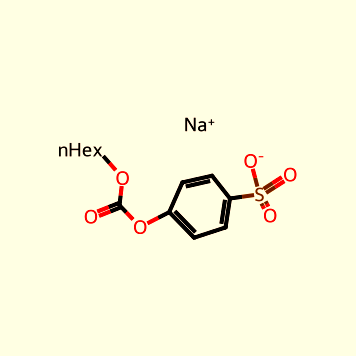 CCCCCCOC(=O)Oc1ccc(S(=O)(=O)[O-])cc1.[Na+]